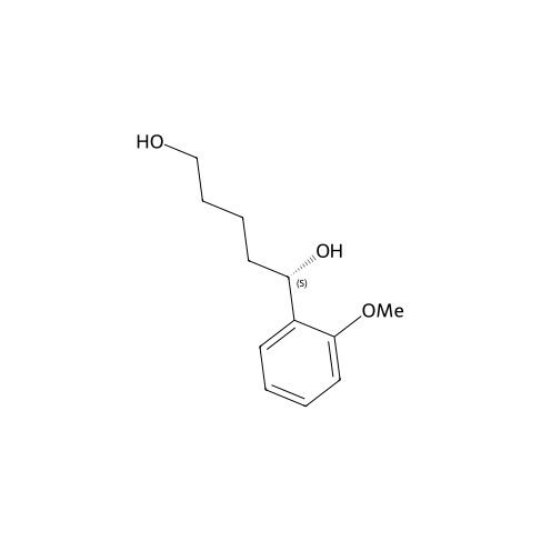 COc1ccccc1[C@@H](O)CCCCO